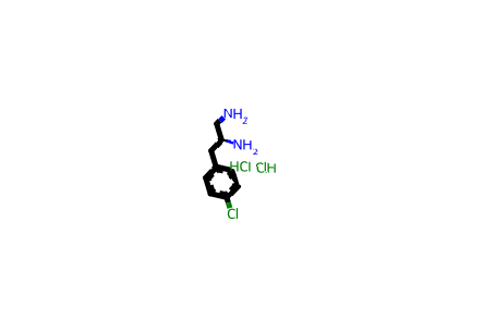 Cl.Cl.NC[C@@H](N)Cc1ccc(Cl)cc1